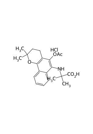 CC(=O)Oc1c2c(c3ccccc3c1NC(C)(C)C(=O)O)OC(C)(C)CC2.Cl